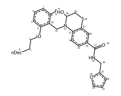 CCCCCCCCCCCCOc1cccc(F)c1CN1c2ccc(C(=O)NCc3ccco3)cc2SCC1O